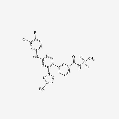 CS(=O)(=O)NC(=O)c1cccc(-c2cnc(Nc3ccc(F)c(Cl)c3)nc2-n2ccc(C(F)(F)F)n2)c1